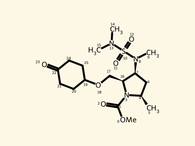 COC(=O)N1[C@H](C)C[C@H](N(C)S(=O)(=O)N(C)C)[C@@H]1COC1CCC(=O)CC1